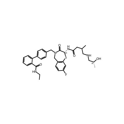 CCNC(=O)c1ccccc1-c1ccc(CN2Cc3ccc(F)cc3S[C@@H](NC(=O)CC(C)CNC[C@@H](C)O)C2=O)cc1